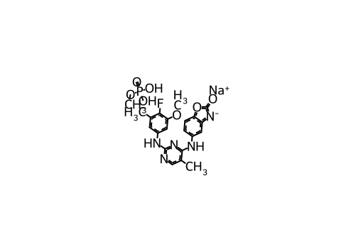 COP(=O)(O)O.COc1cc(Nc2ncc(C)c(Nc3ccc4oc(=O)[n-]c4c3)n2)cc(C)c1F.[Na+]